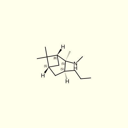 CCC[C@H]1C[C@H]2C[C@H](C2(C)C)[C@@]1(C)NC